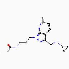 COC(=O)NCCCn1nc([C@@H](C)NC2CC2)c2ccc(C)nc21